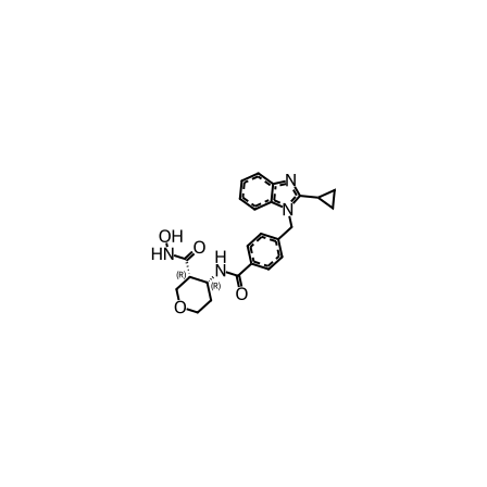 O=C(N[C@@H]1CCOC[C@@H]1C(=O)NO)c1ccc(Cn2c(C3CC3)nc3ccccc32)cc1